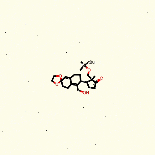 CC1(CO[Si](C)(C)C(C)(C)C)C(=O)CCC1C1CCC2=CC3(CCC2=C1CO)OCCO3